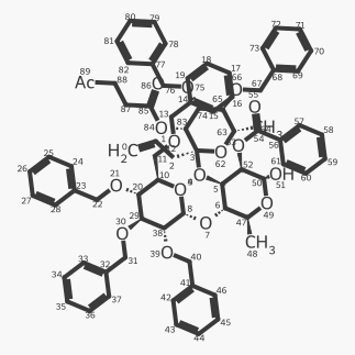 C=CC[C@@]1(O[C@@H]2[C@@H](O[C@H]3O[C@H](COCc4ccccc4)[C@@H](OCc4ccccc4)[C@H](OCc4ccccc4)[C@H]3OCc3ccccc3)[C@H](C)O[C@@H](O)[C@@H]2OC(=O)c2ccccc2)O[C@@H](C)[C@H](OCc2ccccc2)[C@@H](OCc2ccccc2)[C@H]1OC(=O)CCC(C)=O